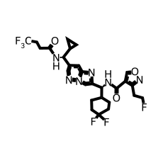 O=C(CCC(F)(F)F)N[C@@H](c1cnn2cc([C@@H](NC(=O)c3conc3CCF)C3CCC(F)(F)CC3)nc2c1)C1CC1